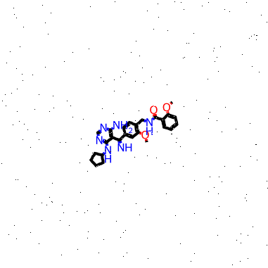 COc1cc(C(=N)c2c(N)ncnc2NC2CCCC2)ccc1CNC(=O)c1ccccc1OC